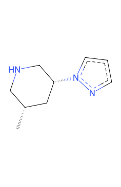 C[C@@H]1CNC[C@H](n2cccn2)C1